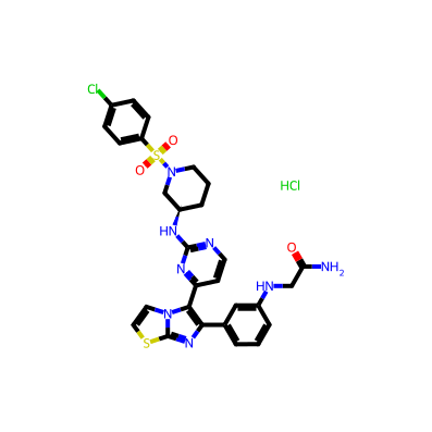 Cl.NC(=O)CNc1cccc(-c2nc3sccn3c2-c2ccnc(N[C@@H]3CCCN(S(=O)(=O)c4ccc(Cl)cc4)C3)n2)c1